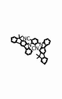 CC1(C)c2ccccc2-c2cc3c4ccccc4n(-c4ccc(C#N)c(-n5c6ccccc6c6cc7c(cc65)C(C)(C)c5ccccc5-7)c4C#N)c3cc21